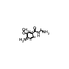 COc1cc(C(=O)NCN)ccc1N